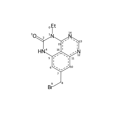 CCN1C(=O)Nc2cc(CBr)cc3ncnc1c23